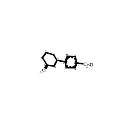 O=Cc1ccc(C2CCCC(=O)C2)cc1